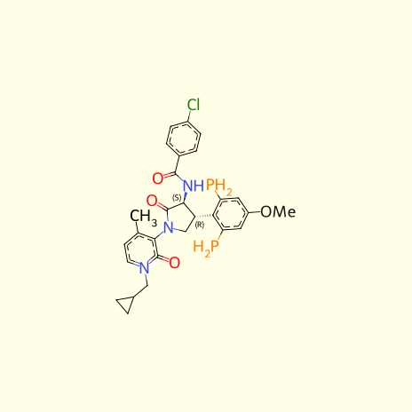 COc1cc(P)c([C@@H]2CN(c3c(C)ccn(CC4CC4)c3=O)C(=O)[C@H]2NC(=O)c2ccc(Cl)cc2)c(P)c1